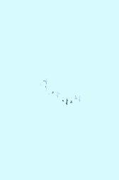 O=C1c2cn(-c3cccnc3)nc2CCN1c1ccc(OC(F)(F)F)cc1